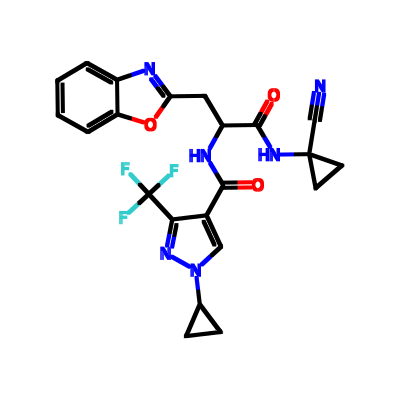 N#CC1(NC(=O)C(Cc2nc3ccccc3o2)NC(=O)c2cn(C3CC3)nc2C(F)(F)F)CC1